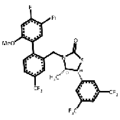 COc1cc(F)c(C(C)C)cc1-c1ccc(C(F)(F)F)cc1CN1C(=O)S[C@H](c2cc(C(F)(F)F)cc(C(F)(F)F)c2)[C@@H]1C